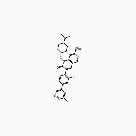 CSc1ncc2cc(-c3ccc(-c4cncc(C)n4)cc3Cl)c(=O)n(C[C@H]3CC[C@H](N(C)C)CC3)c2n1